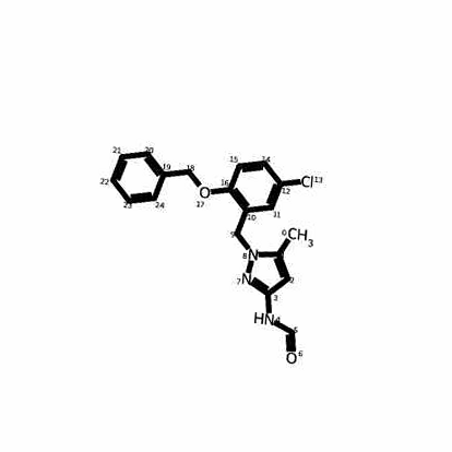 Cc1cc(NC=O)nn1Cc1cc(Cl)ccc1OCc1ccccc1